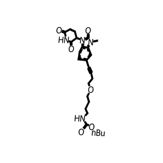 CCCCOC(=O)NCCCCOCCC#Cc1ccc2c(c1)n(C)c(=O)n2C1CCC(=O)NC1=O